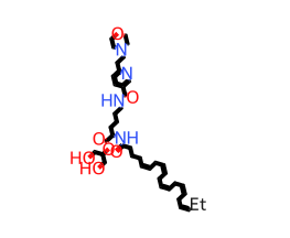 CC/C=C\C/C=C\C/C=C\C/C=C\C/C=C\CCCC(=O)NC(CCCCNC(=O)c1ccc(CCN2CCOCC2)nc1)C(=O)OC(CO)CO